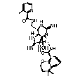 Cc1cccnc1C(=O)NC[C@@H]1NC(=N)N2C[C@H](NC(=O)c3cccc4c3OCCC4(C)C)C(O)(O)[C@@]23NC(=N)N[C@@H]13